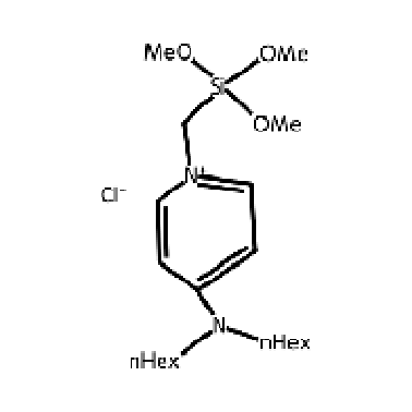 CCCCCCN(CCCCCC)c1cc[n+](C[Si](OC)(OC)OC)cc1.[Cl-]